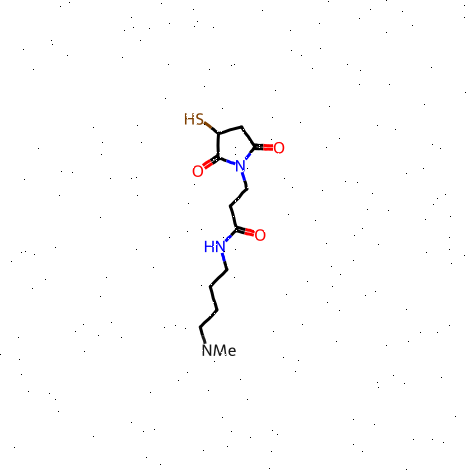 CNCCCCNC(=O)CCN1C(=O)CC(S)C1=O